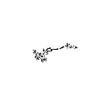 CNC1(C#CC#Cc2ccc3nc(CC[C@@](C)(C[SH](=O)=O)C(=O)NO)sc3c2)CC1